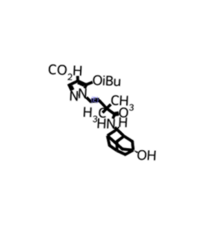 CC(C)COc1c(C(=O)O)cnn1/C=C/C(C)(C)C(=O)N[C@H]1C2CC3CC1C[C@](O)(C3)C2